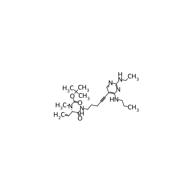 C=C[C@@H](C(=O)NCCCC#Cc1cnc(NCC)nc1NCCC)N(C)C(=O)OC(C)(C)C